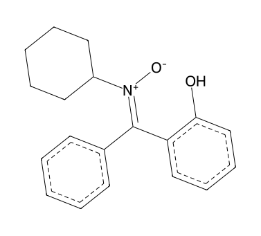 [O-][N+](=C(c1ccccc1)c1ccccc1O)C1CCCCC1